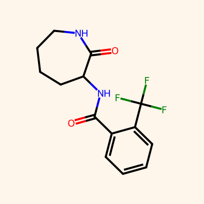 O=C(NC1CCCCNC1=O)c1ccccc1C(F)(F)F